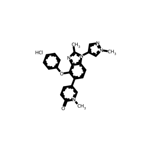 Cc1nc2c(Oc3ccccc3)c(-c3ccc(=O)n(C)c3)ccc2n1-c1cnn(C)c1.Cl